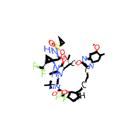 CC[C@@H]1COc2nc3c(nc2CCCCC[C@@H]2CCC[C@@]2(C(F)(F)F)OC(=O)N[C@@H](C(C)(C)C)CN(CC)[C@@H]1C(=O)N[C@]1(C(=O)NS(=O)(=O)C2CC2)C[C@H]1C(F)F)CC(C)C(OC)=C3